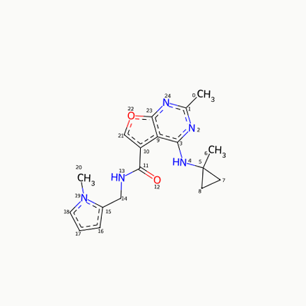 Cc1nc(NC2(C)CC2)c2c(C(=O)NCc3cccn3C)coc2n1